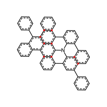 c1ccc(-c2ccc(N(c3ccc4c(c3)c(-c3ccccc3)c(-c3ccccc3)c3ccccc34)c3c(-c4ccccc4)cccc3-c3ccccc3)c(-c3ccccc3)c2)cc1